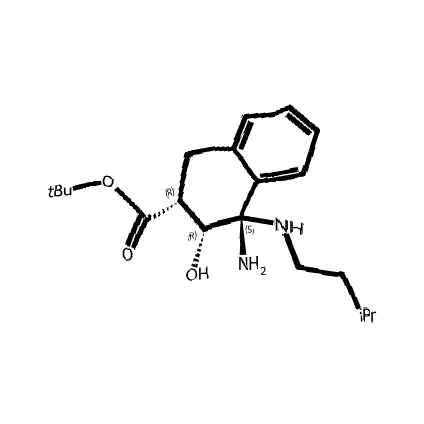 CC(C)CCN[C@@]1(N)c2ccccc2C[C@@H](C(=O)OC(C)(C)C)[C@H]1O